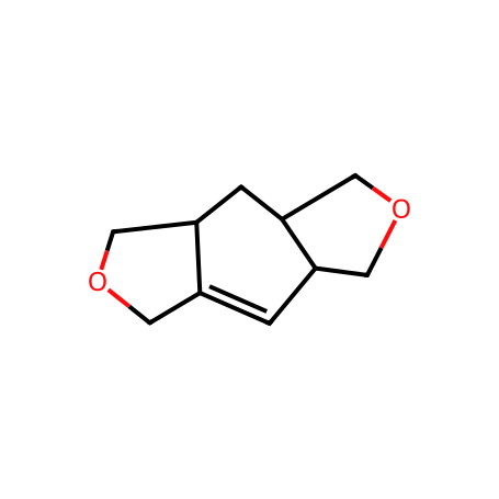 C1=C2COCC2CC2COCC12